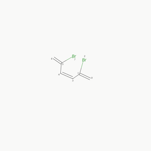 C=C(Br)/C=C\C(=C)Br